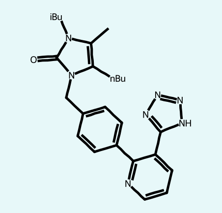 CCCCc1c(C)n(C(C)CC)c(=O)n1Cc1ccc(-c2ncccc2-c2nnn[nH]2)cc1